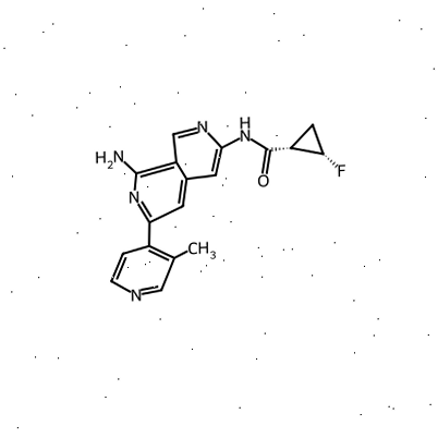 Cc1cnccc1-c1cc2cc(NC(=O)[C@@H]3C[C@@H]3F)ncc2c(N)n1